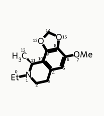 CCN1CCc2cc(OC)c3c(c2[C@@H]1C)OCO3